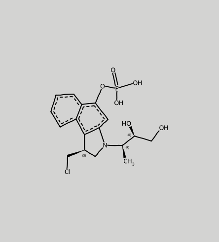 C[C@H]([C@@H](O)CO)N1C[C@@H](CCl)c2c1cc(OP(=O)(O)O)c1ccccc21